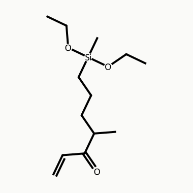 C=CC(=O)C(C)CCC[Si](C)(OCC)OCC